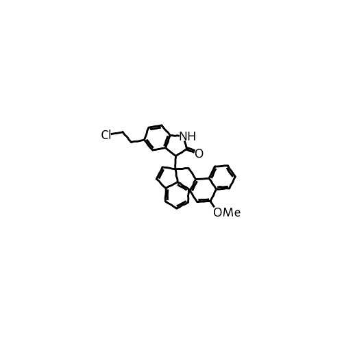 COc1ccc(CC2(C3C(=O)Nc4ccc(CCCl)cc43)C=Cc3ccccc32)c2ccccc12